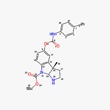 CC(C)c1ccc(NC(=O)Oc2ccc3c(c2)[C@]2(C)CCNC2N3C(=O)OC(C)(C)C)cc1